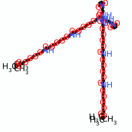 CC(C)(C)OC(=O)CCOCCOCCOCCOCCNC(=O)CCOCCOCCOCCOCCNC(=O)CCOCCOCCOCCOCCNC(=O)[C@H](NC(=O)CCCN1C(=O)C=CC1=O)[C@@H](NC(=O)CCCN1C(=O)C=CC1=O)C(=O)NCCOCCOCCOCCOCCC(=O)NCCOCCOCCOCCOCCC(=O)NCCOCCOCCOCCOCCC(=O)OC(C)(C)C